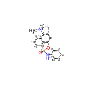 CN(C)c1cccc2c(S(=O)(=O)NC3=C[CH]CC=C3)cccc12